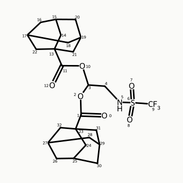 O=C(OC(CNS(=O)(=O)C(F)(F)F)OC(=O)C12CC3CC(CC(C3)C1)C2)C12CC3CC(CC(C3)C1)C2